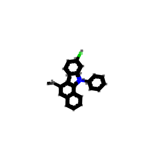 COc1cc2ccccc2c2c1c1ccc(Cl)cc1n2-c1ccccc1